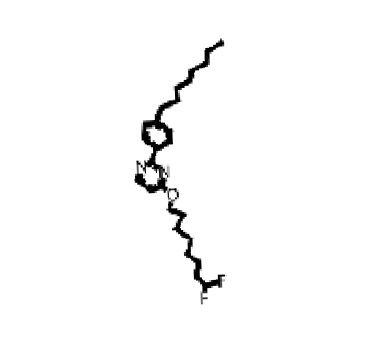 CCCCCCCCc1ccc(-c2nccc(OCCCCCCCC(F)F)n2)cc1